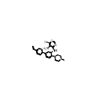 C=Cc1ccc(-c2ccc(N3CCN(C)CC3)c(Nc3ncnc(Cl)c3N)c2)cc1